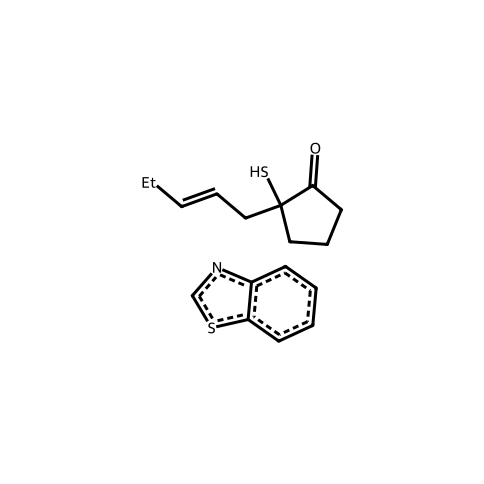 CCC=CCC1(S)CCCC1=O.c1ccc2scnc2c1